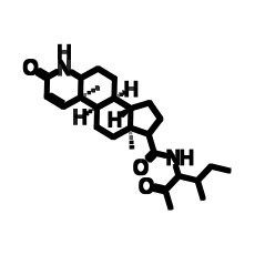 CCC(C)C(NC(=O)C1CC[C@H]2[C@@H]3CCC4NC(=O)C=C[C@]4(C)[C@@H]3CC[C@]12C)C(C)=O